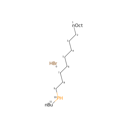 Br.CCCCCCCCCCCCCCCCPCCCC